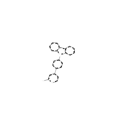 Nc1cc(-c2ccc(-n3c4ccccc4c4ccccc43)cc2)ccn1